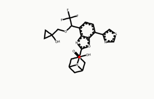 O=C(O)N1C2CC1CN(c1nc3c(C(OCC4(O)CC4)C(F)(F)F)ccc(-c4cscn4)c3o1)C2